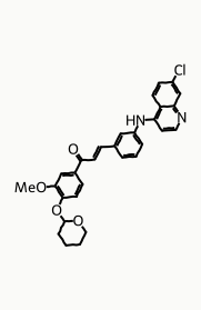 COc1cc(C(=O)/C=C/c2cccc(Nc3ccnc4cc(Cl)ccc34)c2)ccc1OC1CCCCO1